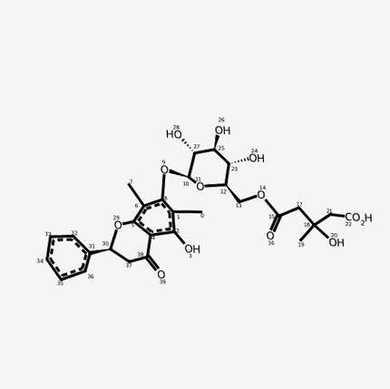 Cc1c(O)c2c(c(C)c1O[C@@H]1O[C@H](COC(=O)CC(C)(O)CC(=O)O)[C@@H](O)[C@H](O)[C@H]1O)O[C@H](c1ccccc1)CC2=O